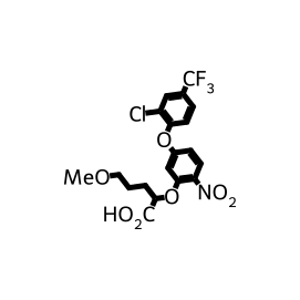 COCCCC(Oc1cc(Oc2ccc(C(F)(F)F)cc2Cl)ccc1[N+](=O)[O-])C(=O)O